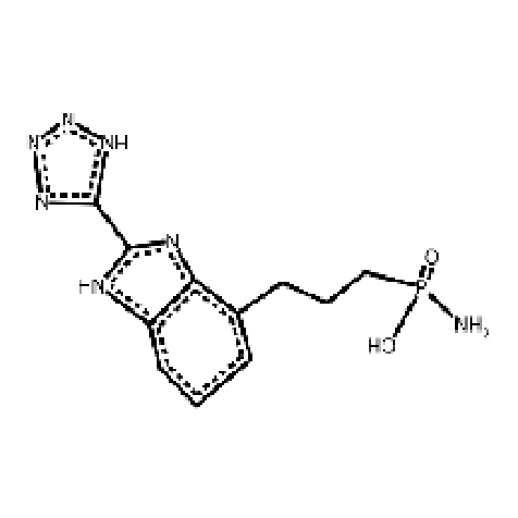 NP(=O)(O)CCCc1cccc2[nH]c(-c3nnn[nH]3)nc12